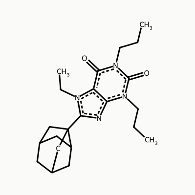 CCCn1c(=O)c2c(nc(C34CC5CC(CC3C5)C4)n2CC)n(CCC)c1=O